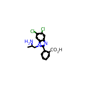 CC(N)Cn1c(-c2ccccc2C(=O)O)nc2cc(Cl)c(Cl)cc21